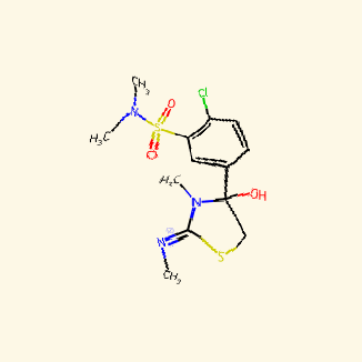 C/N=C1\SCC(O)(c2ccc(Cl)c(S(=O)(=O)N(C)C)c2)N1C